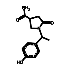 CC(c1ccc(O)cc1)N1CC(C(N)=O)CC1=O